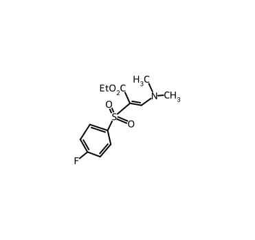 CCOC(=O)C(=CN(C)C)S(=O)(=O)c1ccc(F)cc1